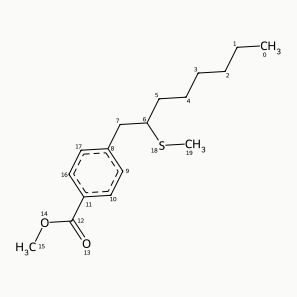 CCCCCCC(Cc1ccc(C(=O)OC)cc1)SC